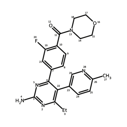 CCc1nc(N)nc(-c2ccc(C(=O)N3CCOCC3)c(F)c2)c1-c1ccc(C)nc1